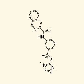 C[C@H](Sc1nncn1C)c1cccc(NC(=O)c2cc3ccccc3cn2)c1